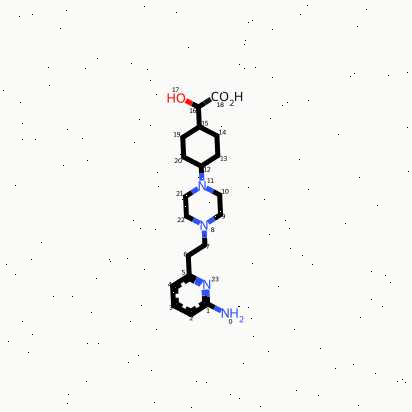 Nc1cccc(CCN2CCN(C3CCC(C(O)C(=O)O)CC3)CC2)n1